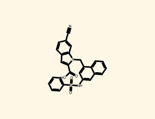 N#Cc1ccc2cc(C(=O)O)n(Cc3cc(NS(=O)(=O)c4ccccc4)cc4ccccc34)c2c1